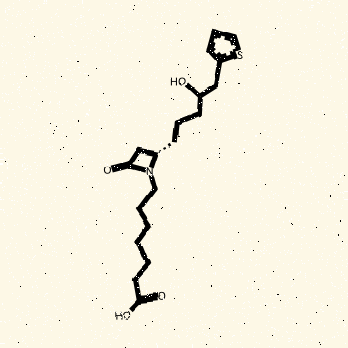 O=C(O)CCCCCCN1C(=O)C[C@@H]1CCCC(O)Cc1cccs1